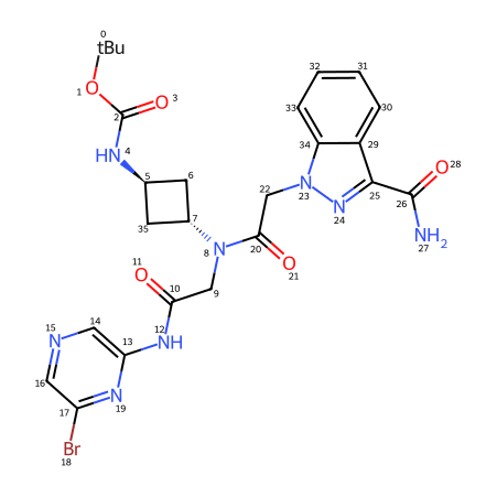 CC(C)(C)OC(=O)N[C@H]1C[C@H](N(CC(=O)Nc2cncc(Br)n2)C(=O)Cn2nc(C(N)=O)c3ccccc32)C1